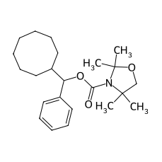 CC1(C)COC(C)(C)N1C(=O)OC(c1ccccc1)C1CCCCCCC1